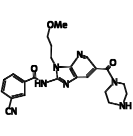 COCCCn1c(NC(=O)c2cccc(C#N)c2)nc2cc(C(=O)N3CCNCC3)cnc21